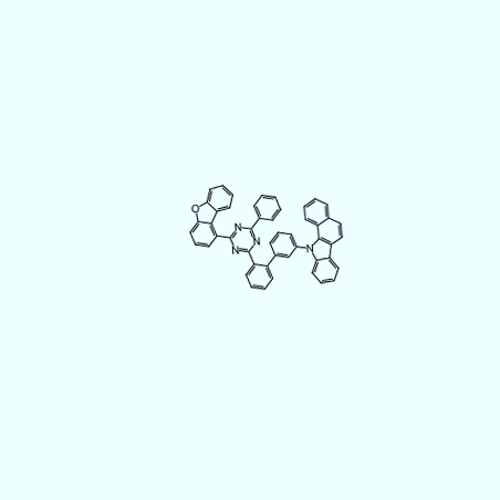 c1ccc(-c2nc(-c3ccccc3-c3cccc(-n4c5ccccc5c5ccc6ccccc6c54)c3)nc(-c3cccc4oc5ccccc5c34)n2)cc1